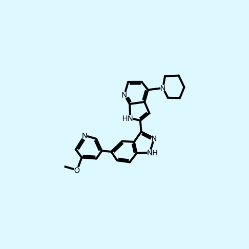 COc1cncc(-c2ccc3[nH]nc(-c4cc5c(N6CCCCC6)ccnc5[nH]4)c3c2)c1